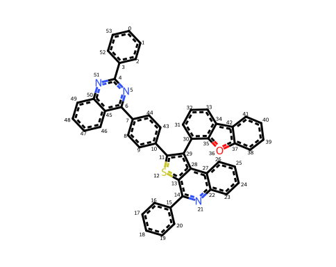 c1ccc(-c2nc(-c3ccc(-c4sc5c(-c6ccccc6)nc6ccccc6c5c4-c4cccc5c4oc4ccccc45)cc3)c3ccccc3n2)cc1